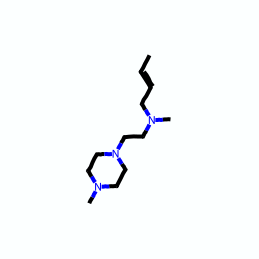 C/C=C/CN(C)CCN1CCN(C)CC1